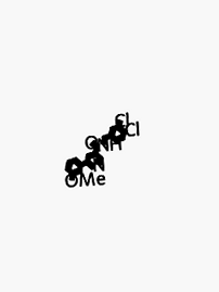 COc1cccc(-c2cncc(C(=O)NCc3ccc(Cl)c(Cl)c3)c2)c1